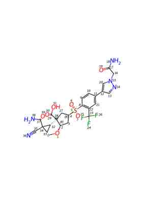 CO[C@@H]1C[C@H](S(=O)(=O)c2ccc(-c3cnn(CC(N)=O)c3)cc2C(F)(F)F)C[C@@]1(C(=O)O)C1CC1(C#N)C(N)=O